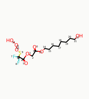 O=C(COC(=O)C(F)(F)SOOO)OCCCCCCCCO